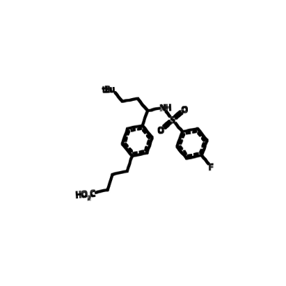 CC(C)(C)CCC(NS(=O)(=O)c1ccc(F)cc1)c1ccc(CCCC(=O)O)cc1